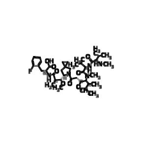 CC[C@H](C)C([C@@H](CC(=O)N1CC2(CC2)C[C@H]1C(OC)[C@@H](C)C(=O)N[C@@H](Cc1ccccc1F)C(=O)O)OC)N(C)C(=O)[C@@H](NC(=O)[C@@H](NC)C(C)C)C(C)C